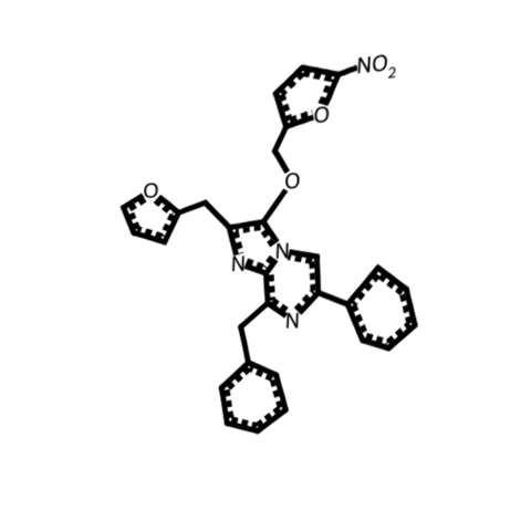 O=[N+]([O-])c1ccc(COc2c(Cc3ccco3)nc3c(Cc4ccccc4)nc(-c4ccccc4)cn23)o1